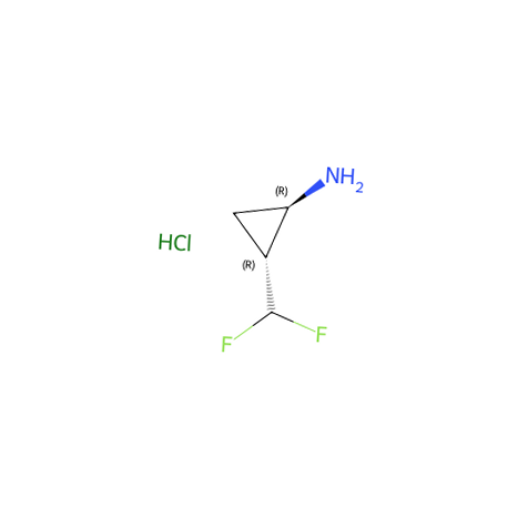 Cl.N[C@@H]1C[C@H]1C(F)F